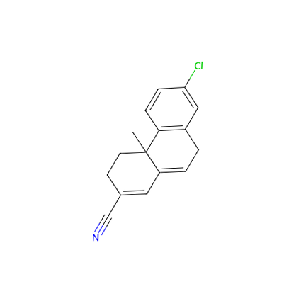 CC12CCC(C#N)=CC1=CCc1cc(Cl)ccc12